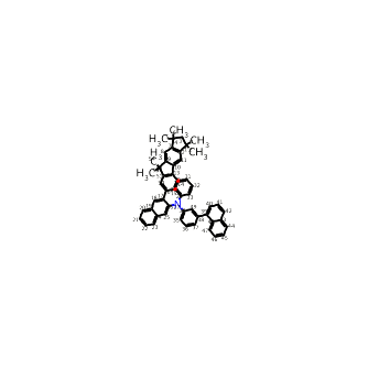 CC1(C)CC(C)(C)c2cc3c(cc21)-c1ccc(-c2cc4ccccc4cc2N(c2ccccc2)c2cccc(-c4cccc5ccccc45)c2)cc1C3(C)C